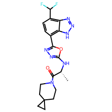 C[C@@H](Nc1nnc(-c2ccc(C(F)F)c3nn[nH]c23)o1)C(=O)N1CCC2(CC1)CC2